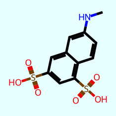 CNc1ccc2c(S(=O)(=O)O)cc(S(=O)(=O)O)cc2c1